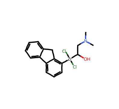 CN(C)C[CH](O)[Zr]([Cl])([Cl])[c]1cccc2c1Cc1ccccc1-2